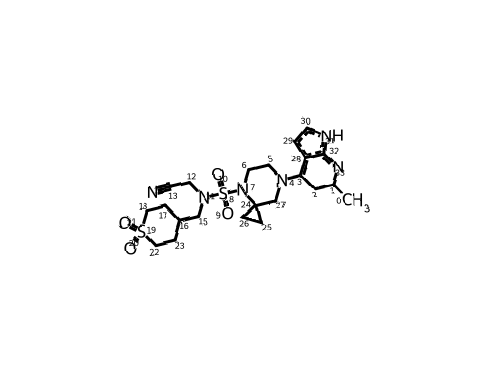 CC1CC(N2CCN(S(=O)(=O)N(CC#N)CC3CCS(=O)(=O)CC3)C3(CC3)C2)=c2cc[nH]c2=N1